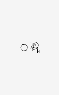 CC1(C)[C@@H]2CC[C@]1(C)C(C1CC[CH]CC1)C2